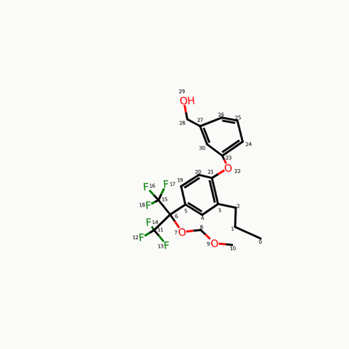 CCCc1cc(C(OCOC)(C(F)(F)F)C(F)(F)F)ccc1Oc1cccc(CO)c1